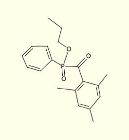 CCCOP(=O)(C(=O)c1c(C)cc(C)cc1C)c1ccccc1